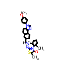 Cc1cccc(C)c1N1C(=O)C(C)S/C1=N/N=C/c1ccc2c(ccc3c2ncn3-c2ccc(OC(F)(F)F)cc2)c1